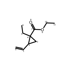 C=CC1CC1(CC)C(=O)OCC